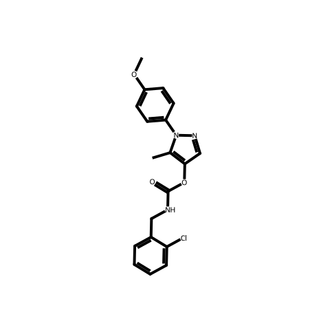 COc1ccc(-n2ncc(OC(=O)NCc3ccccc3Cl)c2C)cc1